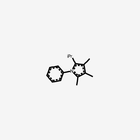 Cc1c(C)c(C(C)C)n(-c2ccccc2)c1C